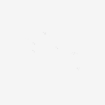 COc1ccc(Cc2nn(C(C)(C)C)c(N)c2C#N)cc1OC